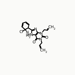 C=CCn1c(=O)c2[nH]c(C3C=CC=CC3(N)Cl)nc2n(CC=C)c1=O